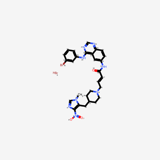 Br.Cn1cnc([N+](=O)[O-])c1CC1CCN(C/C=C/C(=O)Nc2ccc3ncnc(Nc4cccc(Br)c4)c3c2)CC1